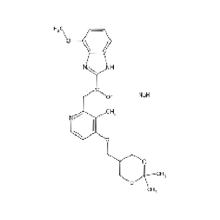 COc1cccc2[nH]c([S+]([O-])Cc3nccc(OCC4COC(C)(C)OC4)c3C)nc12.[NaH]